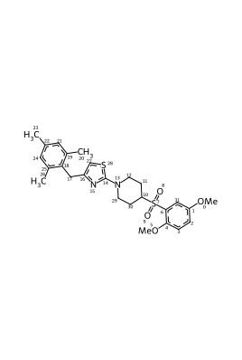 COc1ccc(OC)c(S(=O)(=O)C2CCN(c3nc(Cc4c(C)cc(C)cc4C)cs3)CC2)c1